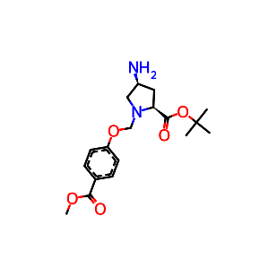 COC(=O)c1ccc(OCN2C[C@@H](N)C[C@H]2C(=O)OC(C)(C)C)cc1